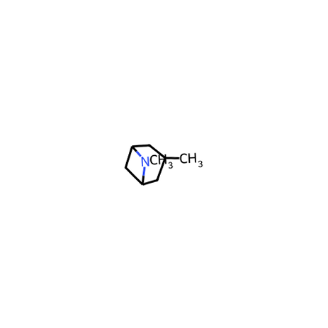 CC1CC2CC(C1)N2C